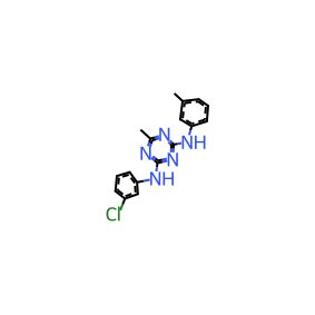 Cc1cccc(Nc2nc(C)nc(Nc3cccc(Cl)c3)n2)c1